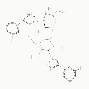 CC[C@H]1OC(S[C@@H]2OC(CO)[C@H](O)[C@H](n3cc(-c4cccc(F)c4)nn3)C2O)[C@H](O)C(n2cc(-c3cccc(F)c3)nn2)C1O